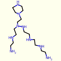 NCCNCCNCCNN(CCNCCN)CCN1CCNCC1